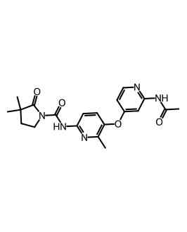 CC(=O)Nc1cc(Oc2ccc(NC(=O)N3CCC(C)(C)C3=O)nc2C)ccn1